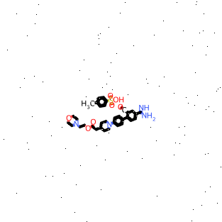 Cc1ccc(S(=O)(=O)O)cc1.N=C(N)C1=CC=C(c2ccc(N3CCC(CC(=O)OCCN4CCOCC4)CC3)cc2)C(=C=O)C1